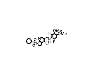 COc1cc(F)c(NCc2cnc3c(ccn3S(=O)(=O)c3ccccc3)c2Cl)c(F)c1OC